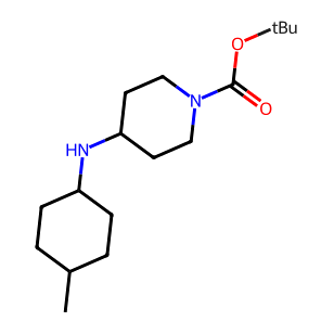 CC1CCC(NC2CCN(C(=O)OC(C)(C)C)CC2)CC1